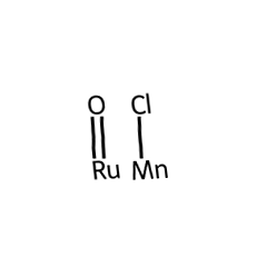 [Cl][Mn].[O]=[Ru]